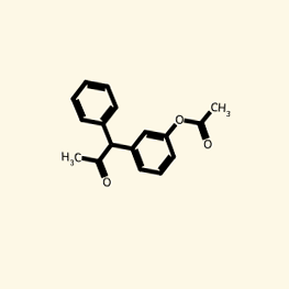 CC(=O)Oc1cccc(C(C(C)=O)c2ccccc2)c1